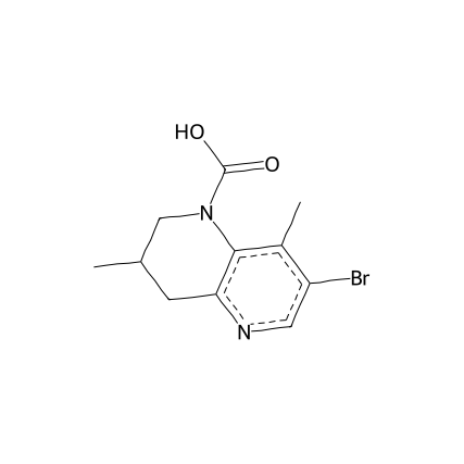 Cc1c(Br)cnc2c1N(C(=O)O)CC(C)C2